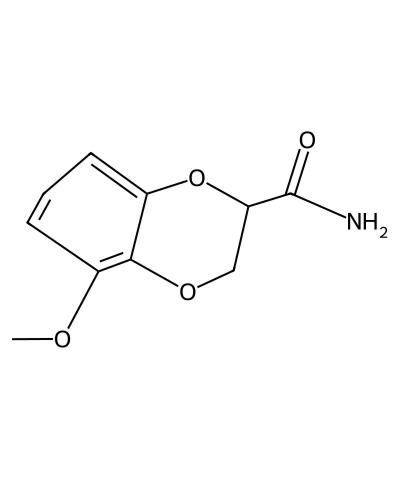 COc1cccc2c1OCC(C(N)=O)O2